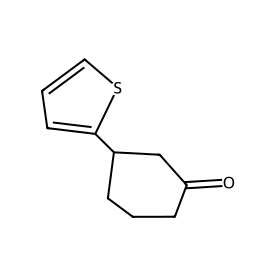 O=C1CCCC(c2cccs2)C1